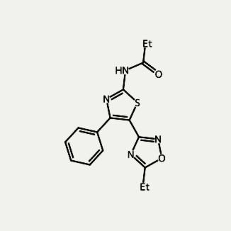 CCC(=O)Nc1nc(-c2ccccc2)c(-c2noc(CC)n2)s1